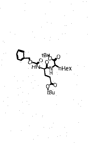 CCCCCCC(NC(=O)C(CCC(=O)OC(C)(C)C)NC(=O)OCc1ccccc1)C(=O)OC(C)(C)C